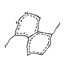 Cc1cccc2c(I)nncc12